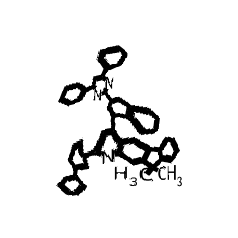 CC1(C)c2ccccc2-c2cc3c(-c4cc(-c5nc(-c6ccccc6)cc(-c6ccccc6)n5)cc5ccccc45)cc(-c4cccc(-c5ccccc5)c4)nc3cc21